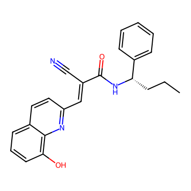 CCC[C@H](NC(=O)/C(C#N)=C/c1ccc2cccc(O)c2n1)c1ccccc1